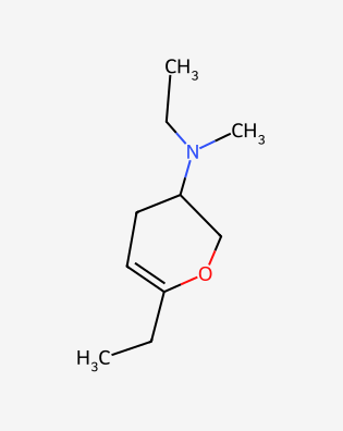 CCC1=CCC(N(C)CC)CO1